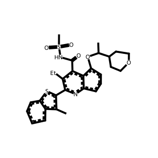 CCc1c(-c2sc3ccccc3c2C)nc2cccc(OC(C)C3CCOCC3)c2c1C(=O)NS(C)(=O)=O